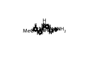 COc1cc(F)cc(-c2nccc3[nH]c(-c4n[nH]c5cnc(-c6cncc(N7CC(N)C7)n6)cc45)nc23)c1